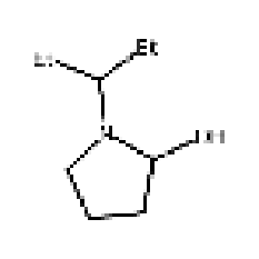 CCC(CC)N1CCCC1O